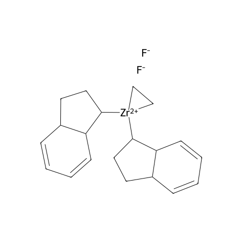 C1=CC2CC[CH]([Zr+2]3([CH]4CCC5C=CC=CC54)[CH2][CH2]3)C2C=C1.[F-].[F-]